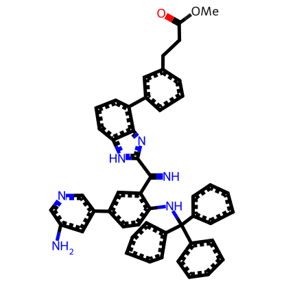 COC(=O)CCc1cccc(-c2cccc3[nH]c(C(=N)c4cc(-c5cncc(N)c5)ccc4NC(c4ccccc4)(c4ccccc4)c4ccccc4)nc23)c1